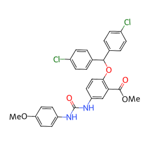 COC(=O)c1cc(NC(=O)Nc2ccc(OC)cc2)ccc1OC(c1ccc(Cl)cc1)c1ccc(Cl)cc1